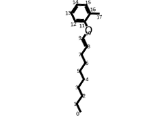 CCCCCCCC/C=C/Oc1ccccc1C